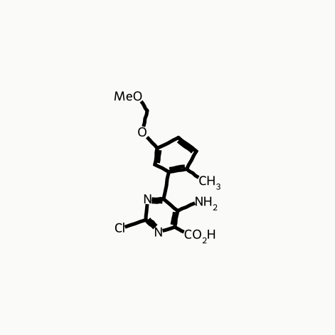 COCOc1ccc(C)c(-c2nc(Cl)nc(C(=O)O)c2N)c1